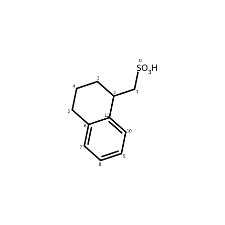 O=S(=O)(O)CC1CCCc2ccccc21